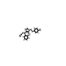 N#CCC(c1ncn(CCc2ccc(F)cc2)n1)c1ccccc1Cl